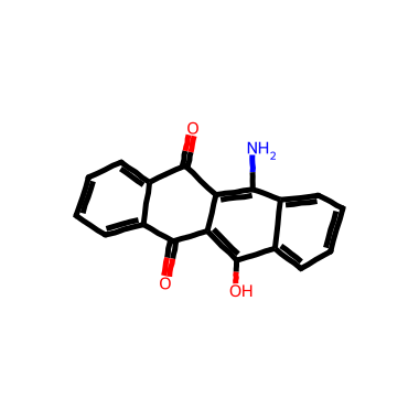 Nc1c2c(c(O)c3ccccc13)C(=O)c1ccccc1C2=O